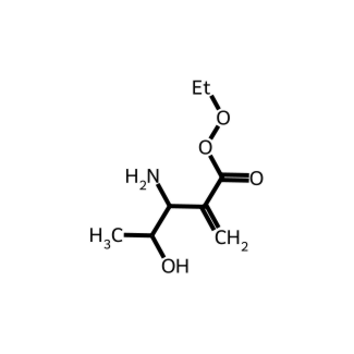 C=C(C(=O)OOCC)C(N)C(C)O